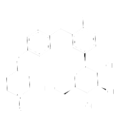 CC(=O)N1CCC(Oc2ccc(Cc3cc([C@@H]4O[C@H](CO)[C@@H](O)[C@H](O)[C@H]4O)ccc3Cl)cc2)CC1